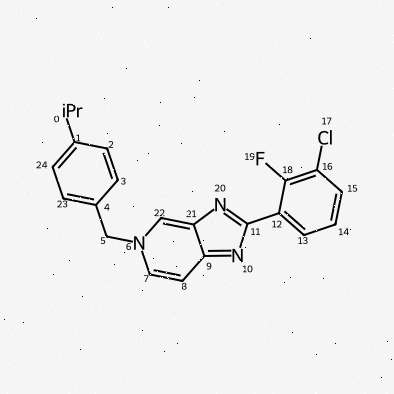 CC(C)c1ccc(Cn2ccc3nc(-c4cccc(Cl)c4F)nc-3c2)cc1